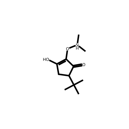 C[SiH](C)OC1=C(O)CC(C(C)(C)C)C1=O